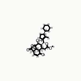 COC(=O)CC1[C@H](CC2=C(C)[C@H](C3CCCCC3)CC2)[C@H](O)[C@@H]2OC(=O)[C@]3(C)C=CC(=O)[C@@]1(C)[C@@H]23